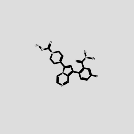 CCN(C(=O)c1cc(F)ccc1-c1cc(C2=CCN(C(=O)OC(C)(C)C)CC2)n2ccncc12)C(C)C